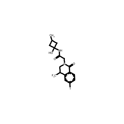 CC1CC(O)(NC(=O)CN2CC(C(F)(F)F)c3cc(I)ccc3C2=O)C1